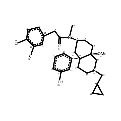 CO[C@]12CC[C@H](N(C)C(=O)Cc3ccc(Cl)c(Cl)c3)C[C@]1(c1cccc(O)c1)CCN(CC1CC1)C2